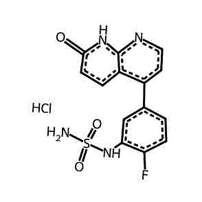 Cl.NS(=O)(=O)Nc1cc(-c2ccnc3[nH]c(=O)ccc23)ccc1F